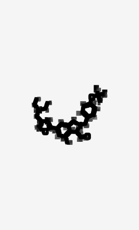 CCN(CC)Cc1noc(-c2cc(C)c3c(c2)CN(Cc2ccc(OC(F)(F)F)cc2)C3C=O)n1